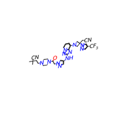 CC(C)(C#N)CCN1CCN(C(=O)Cn2cc(Nc3nc4c(N5CC(CC#N)(n6cc(C(F)(F)F)cn6)C5)cccn4n3)cn2)CC1